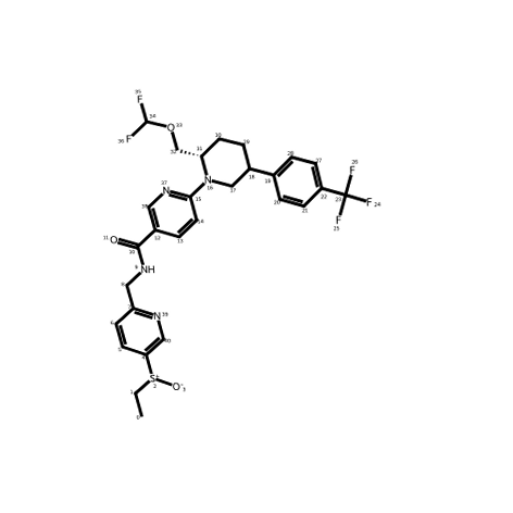 CC[S+]([O-])c1ccc(CNC(=O)c2ccc(N3CC(c4ccc(C(F)(F)F)cc4)CC[C@H]3COC(F)F)nc2)nc1